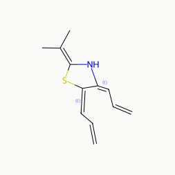 C=C/C=C1/NC(=C(C)C)S/C1=C/C=C